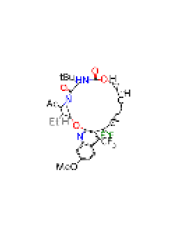 CCC1[C@@H]2CN(C(=O)[C@H](C(C)(C)C)NC(=O)O[C@@H]3C[C@H]3CCCCC(F)(F)c3c(nc4cc(OC)ccc4c3C(F)(F)F)O2)[C@@H]1C(C)=O